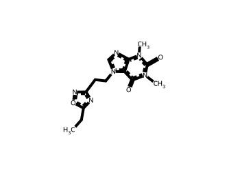 CCc1nc(CCn2cnc3c2c(=O)n(C)c(=O)n3C)no1